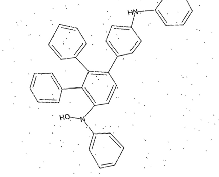 ON(c1ccccc1)c1ccc(-c2ccc(Nc3ccccc3)cc2)c(-c2ccccc2)c1-c1ccccc1